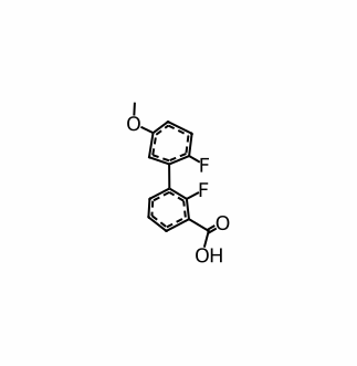 COc1ccc(F)c(-c2cccc(C(=O)O)c2F)c1